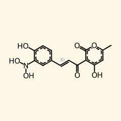 Cc1cc(O)c(C(=O)/C=C/c2ccc(O)c(N(O)O)c2)c(=O)o1